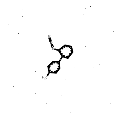 Cc1ccc(-c2ccccc2N=[N+]=[N-])cc1